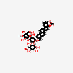 CC(=O)O[C@H]1C(C)C(C)(C)CC2C3=CCC4C5(C)CCC(O[C@@H]6CC(C(=O)O)[C@@H](O[C@@H]7CC(CO)[C@@H](O)[C@@H](O)C7O)[C@@H](O)C6O[C@@H]6CC(CO)[C@@H](O)[C@@H](O)C6O)[C@](C)(CO)C5CCC4(C)[C@]3(C)CCC21CO